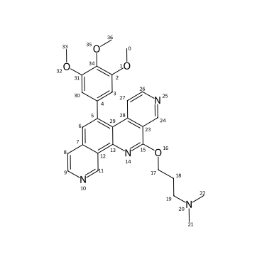 COc1cc(-c2cc3ccncc3c3nc(OCCCN(C)C)c4cnccc4c23)cc(OC)c1OC